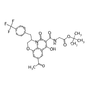 CC(=O)c1cc2c3c(c1)c(O)c(C(=O)NCC(=O)OC(C)(C)C)c(=O)n3C(Cc1ccc(C(F)(F)F)cc1)CO2